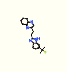 CC(C)(F)c1ccc2nc(CCc3cnc4ccccc4n3)[nH]c2c1